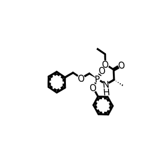 CCOC(=O)[C@H](C)N[P@](=O)(COCc1ccccc1)Oc1ccccc1